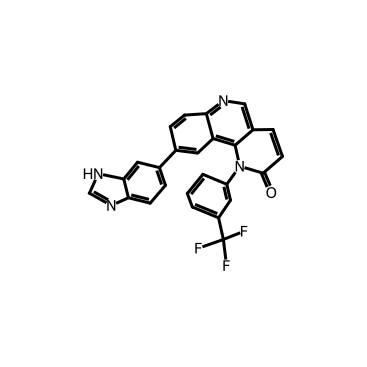 O=c1ccc2cnc3ccc(-c4ccc5nc[nH]c5c4)cc3c2n1-c1cccc(C(F)(F)F)c1